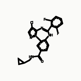 O=C(NCC1CC1)c1ccc2c(c1)-n1ncc(Cl)c1N=C(c1c(F)cccc1F)N2